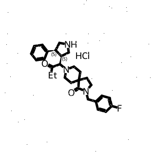 CCC(=O)C([C@@H]1CNC[C@@H]1c1ccccc1)N1CCC2(CCN(Cc3ccc(F)cc3)C2=O)CC1.Cl